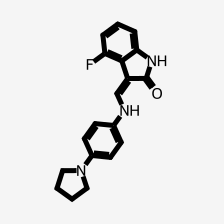 O=C1Nc2cccc(F)c2C1=CNc1ccc(N2CCCC2)cc1